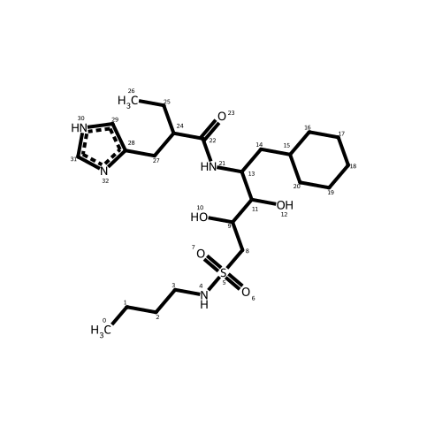 CCCCNS(=O)(=O)CC(O)C(O)C(CC1CCCCC1)NC(=O)C(CC)Cc1c[nH]cn1